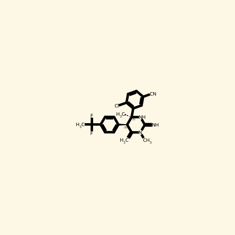 C=C1[C@@H](c2ccc(C(C)(F)F)cc2)[C@@](C)(c2cc(C#N)ccc2Cl)NC(=N)N1C